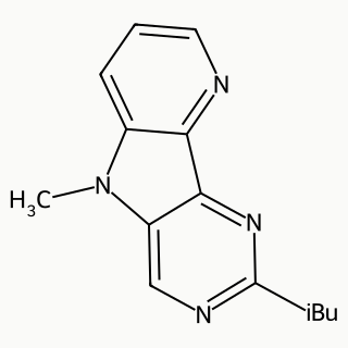 CCC(C)c1ncc2c(n1)c1ncccc1n2C